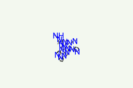 CNCCN1CC[N]C(N2CCN(CCN(C)C)CC2N2CCN(c3ccncc3)CC2N2CCN(c3cccnc3)CC2N2CCN(c3ccccn3)CC2)C1